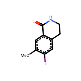 COc1cc2c(cc1I)CCNC2=O